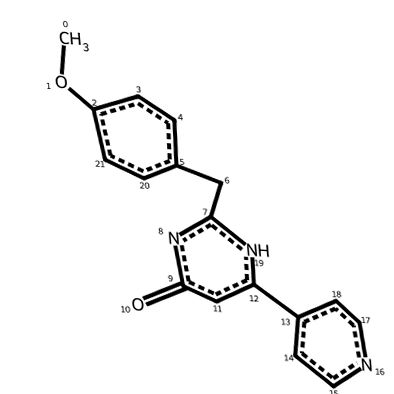 COc1ccc(Cc2nc(=O)cc(-c3ccncc3)[nH]2)cc1